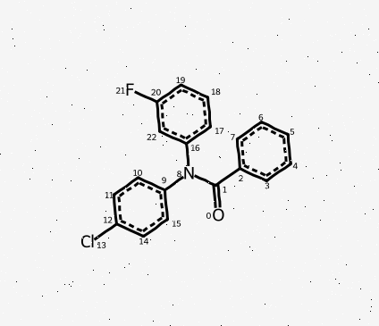 O=C(c1ccccc1)N(c1ccc(Cl)cc1)c1cccc(F)c1